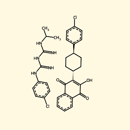 CC(C)NC(=N)NC(=N)Nc1ccc(Cl)cc1.O=C1C(O)=C([C@H]2CC[C@H](c3ccc(Cl)cc3)CC2)C(=O)c2ccccc21